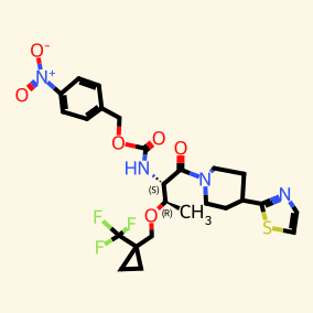 C[C@@H](OCC1(C(F)(F)F)CC1)[C@H](NC(=O)OCc1ccc([N+](=O)[O-])cc1)C(=O)N1CCC(c2nccs2)CC1